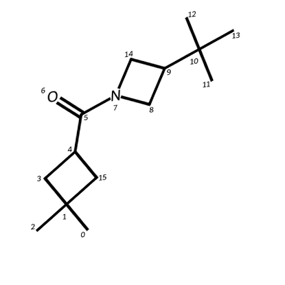 CC1(C)CC(C(=O)N2CC(C(C)(C)C)C2)C1